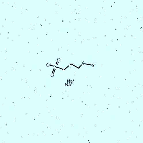 O=S(=O)([O-])CCCS[S-].[Na+].[Na+]